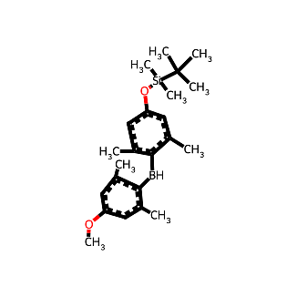 COc1cc(C)c(Bc2c(C)cc(O[Si](C)(C)C(C)(C)C)cc2C)c(C)c1